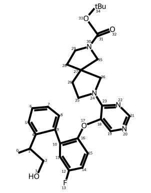 CC(CO)c1ccccc1-c1cc(F)ccc1Oc1cncnc1N1CCC2(CCN(C(=O)OC(C)(C)C)C2)C1